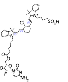 CC1(C)C(/C=C/C2=C(Cl)C(=C/C=C3/N(CCCCCC(=O)OCC4OC(n5ccc(N)nc5=O)C(F)C4O)c4ccccc4C3(C)C)/CCC2)=[N+](CCCCS(=O)(=O)O)c2ccccc21